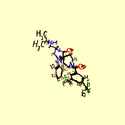 CC(C)NCCN1CN(c2ccccc2)C2(CCN(C(=O)c3cc(C(F)(F)F)cc(C(F)(F)F)c3)CC2)C1=O